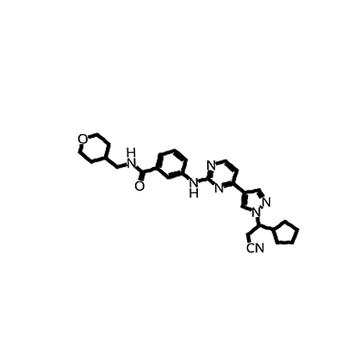 N#CCC(C1CCCC1)n1cc(-c2ccnc(Nc3cccc(C(=O)NCC4CCOCC4)c3)n2)cn1